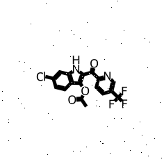 CC(=O)Oc1c(C(=O)c2ccc(C(F)(F)F)cn2)[nH]c2cc(Cl)ccc12